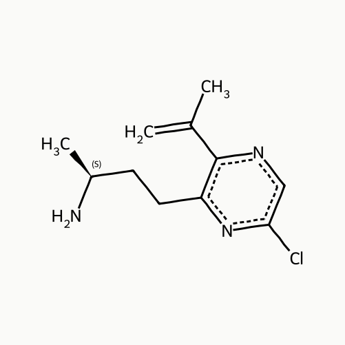 C=C(C)c1ncc(Cl)nc1CC[C@H](C)N